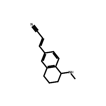 CNC1CCCc2cc(/C=C/C#N)ccc21